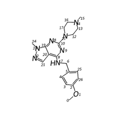 COc1ccc(CNc2nc(N3CCN(C)CC3)nc3c2cnn3C)cc1